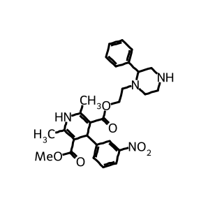 COC(=O)C1=C(C)NC(C)=C(C(=O)OCCN2CCNCC2c2ccccc2)C1c1cccc([N+](=O)[O-])c1